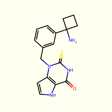 NC1(c2cccc(Cn3c(=S)[nH]c(=O)c4[nH]ccc43)c2)CCC1